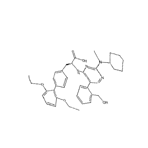 CCOc1cccc(OCC)c1-c1ccc(C[C@H](Nc2nc(N(C)C3CCCCC3)ncc2-c2ccccc2CO)C(=O)O)cc1